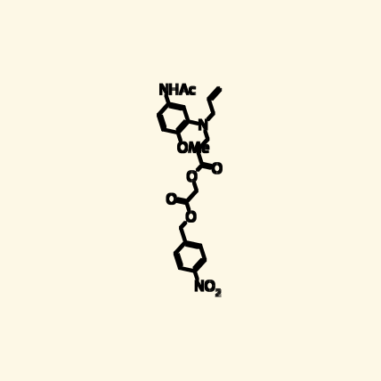 C=CCN(CCC(=O)OCC(=O)OCc1ccc([N+](=O)[O-])cc1)c1cc(NC(C)=O)ccc1OC